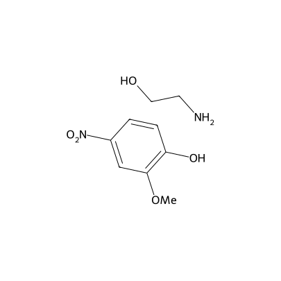 COc1cc([N+](=O)[O-])ccc1O.NCCO